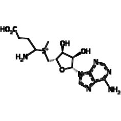 C[S+](C[C@H]1O[C@@H](n2cnc3c(N)ncnc32)[C@H](O)[C@@H]1O)C(N)CCC(=O)O